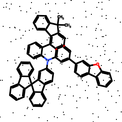 CC1(C)c2ccccc2-c2c(-c3ccccc3N(c3cccc(-c4ccc5c(c4)oc4ccccc45)c3)c3ccc4c(c3)C3(c5ccccc5-c5ccccc53)c3ccccc3-4)cccc21